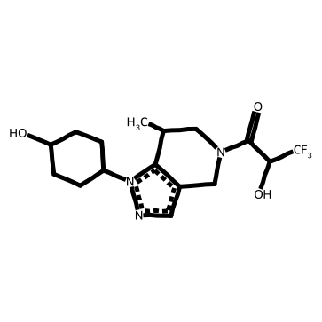 CC1CN(C(=O)C(O)C(F)(F)F)Cc2cnn(C3CCC(O)CC3)c21